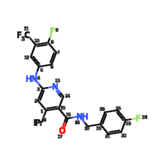 CC(C)c1cc(Nc2ccc(F)c(C(F)(F)F)c2)ncc1C(=O)NCc1ccc(F)cc1